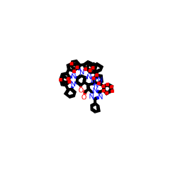 O=c1oc2c(-n3c4ccccc4c4ccccc43)c(-n3c4ccccc4c4ccccc43)c(-n3c4ccccc4c4ccccc43)c(-n3c4ccccc4c4ccccc43)c2c(-c2nc(-c3ccccc3)nc(-c3ccccc3)n2)c1-c1nc(-c2ccccc2)nc(-c2ccccc2)n1